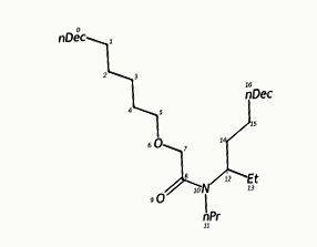 CCCCCCCCCCCCCCCOCC(=O)N(CCC)[C](CC)CCCCCCCCCCCC